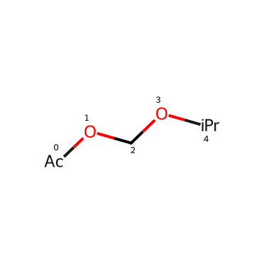 CC(=O)OCOC(C)C